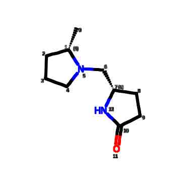 C[C@H]1CCCN1C[C@@H]1CCC(=O)N1